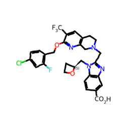 O=C(O)c1ccc2c(c1)nc(CN1CCc3cc(C(F)(F)F)c(OCc4ccc(Cl)cc4F)nc3C1)n2C[C@@H]1CCO1